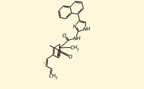 C=C/C=C\C1=CC2NC(=O)C1CC2(C)C(=O)Nc1nc(-c2cccc3ccccc23)c[nH]1